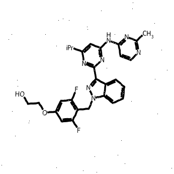 Cc1nccc(Nc2cc(C(C)C)nc(-c3nn(Cc4c(F)cc(OCCO)cc4F)c4ccccc34)n2)n1